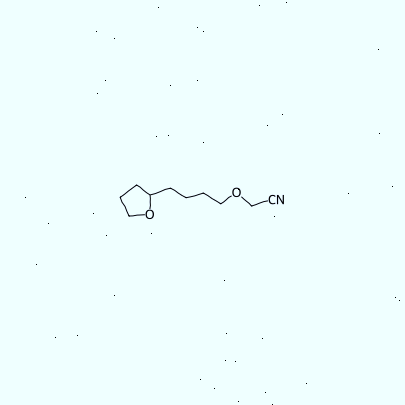 N#CCOCCCCC1CCCO1